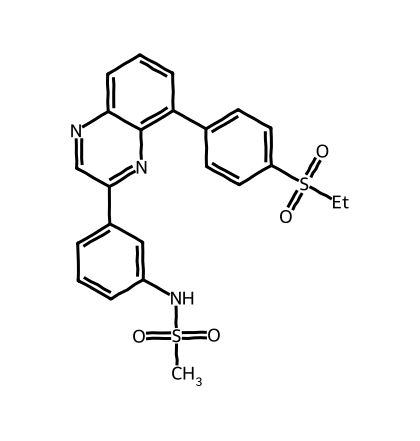 CCS(=O)(=O)c1ccc(-c2cccc3ncc(-c4cccc(NS(C)(=O)=O)c4)nc23)cc1